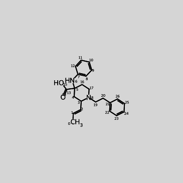 CC=CC1CC(Nc2ccccc2)(C(=O)O)CCN1CCc1ccccc1